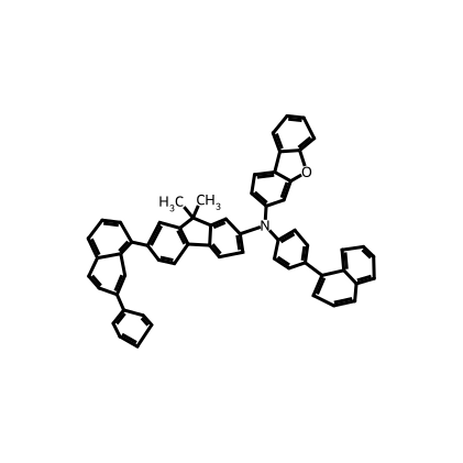 CC1(C)c2cc(-c3cccc4ccc(-c5ccccc5)cc34)ccc2-c2ccc(N(c3ccc(-c4cccc5ccccc45)cc3)c3ccc4c(c3)oc3ccccc34)cc21